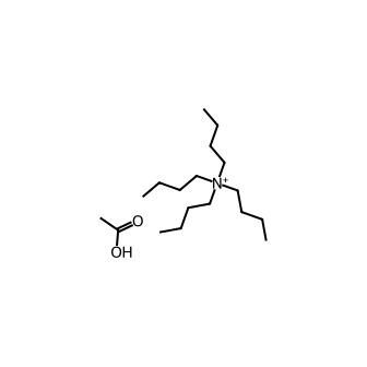 CC(=O)O.CCCC[N+](CCCC)(CCCC)CCCC